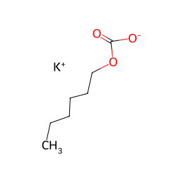 CCCCCCOC(=O)[O-].[K+]